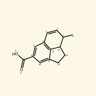 CC1C=Cc2cc(C(=O)O)cc3c2C1CC3